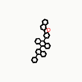 C1=CCC2C(=C1)C(c1ccc(-c3ccccc3)c3ccccc13)=c1ccccc1=C2c1ccc2oc3c4ccccc4ccc3c2c1